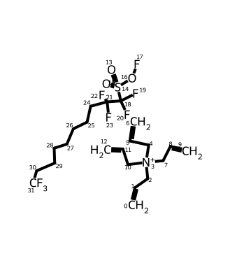 C=CC[N+](CC=C)(CC=C)CC=C.O=S(=O)(OF)C(F)(F)C(F)(F)CCCCCCCC(F)(F)F